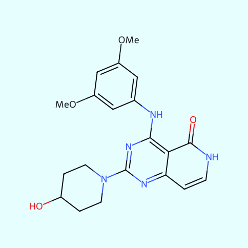 COc1cc(Nc2nc(N3CCC(O)CC3)nc3cc[nH]c(=O)c23)cc(OC)c1